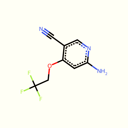 N#Cc1cnc(N)cc1OCC(F)(F)F